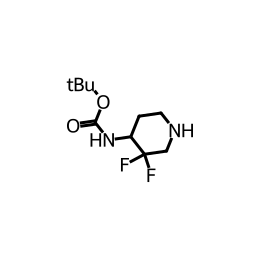 CC(C)(C)OC(=O)NC1CCNCC1(F)F